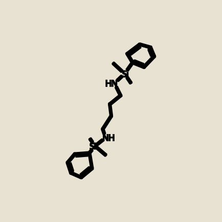 C[Si](C)(NCCCCN[Si](C)(C)c1ccccc1)c1ccccc1